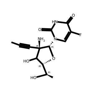 CC#C[C@@]1(N)C(O)[C@@H]([C@@H](C)O)O[C@H]1n1cc(F)c(=O)[nH]c1=O